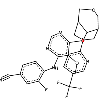 COc1c(Nc2ccc(C#N)cc2F)ncnc1OC1C2COCC1CN(c1ccc(C(F)(F)F)cn1)C2